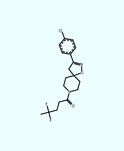 CC(F)(F)CCC(=O)N1CCC2(CC1)CC(c1ccc(Cl)cc1)=NO2